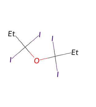 CCC(I)(I)OC(I)(I)CC